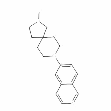 O=C(O)N1CCC2(CCN(c3ccc4cnccc4c3)CC2)C1